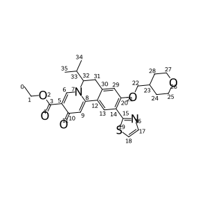 CCOC(=O)c1cn2c(cc1=O)-c1cc(-c3nccs3)c(OCC3CCOCC3)cc1CC2C(C)C